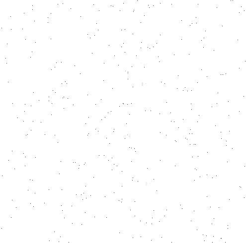 CC(C)Oc1ccc(Oc2ccc(ON(C(=O)O)C(C)C)cc2)nc1